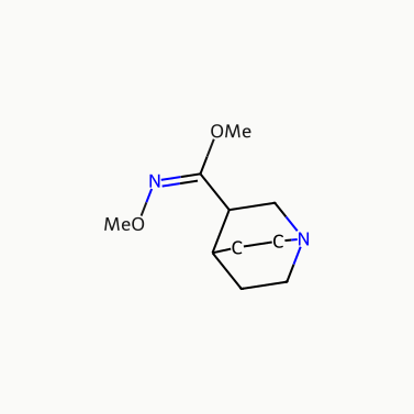 CO/N=C(/OC)C1CN2CCC1CC2